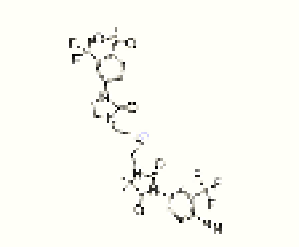 CC1(C)C(=O)N(c2ccc(C#N)c(C(F)(F)F)c2)C(=O)N1C/C=C\CN1CCN(c2ccc(S(C)(=O)=O)c(C(F)(F)F)c2)C1=O